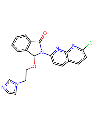 O=C1c2ccccc2C(OCCn2ccnc2)N1c1ccc2ccc(Cl)nc2n1